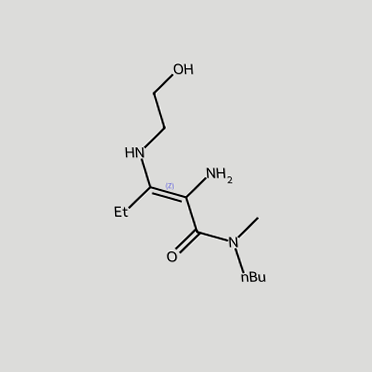 CCCCN(C)C(=O)/C(N)=C(\CC)NCCO